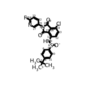 CC(C)(C)c1ccc([S+]([O-])Nc2ccc(Cl)c3c2C(=O)N(c2ccc(F)nc2)C3=O)cc1